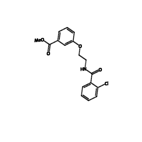 COC(=O)c1cccc(OCCNC(=O)c2ccccc2Cl)c1